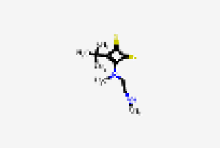 CNCCN(C)c1c(C(C)(C)C)c(=S)c1=S